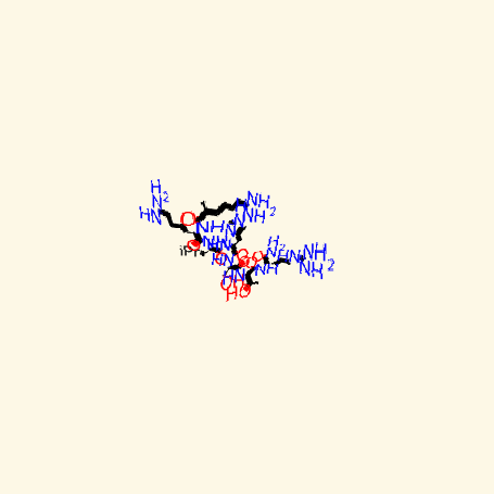 CC(C)C[C@H](NC(=O)[C@H](CCCCC(=N)N)NC(=O)[C@@H](C)CCCCC(=N)N)C(=O)N[C@@H](Cc1c[nH]cn1)C(=O)N[C@@H](CO)C(=O)N[C@H](C(=O)N[C@@H](CCCNC(=N)N)C(N)=O)[C@@H](C)O